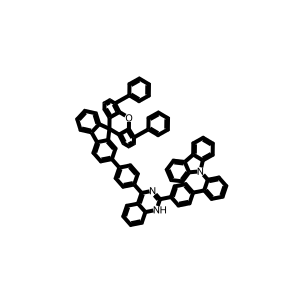 C1=CC2=C(c3ccc(-c4ccc5c(c4)C4(c6ccccc6-5)c5cccc(-c6ccccc6)c5Oc5c(-c6ccccc6)cccc54)cc3)N=C(c3ccc(-c4ccccc4-n4c5ccccc5c5ccccc54)cc3)NC2C=C1